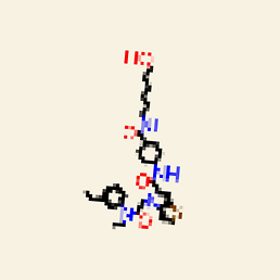 CCc1cccc(N(CC)C(=O)Cn2c(C(=O)NC3CCC(C(=O)NCCCCCCO)CC3)cc3sccc32)c1